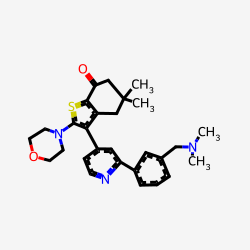 CN(C)Cc1cccc(-c2cc(-c3c(N4CCOCC4)sc4c3CC(C)(C)CC4=O)ccn2)c1